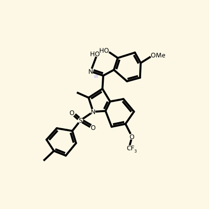 COc1ccc(/C(=N\O)c2c(C)n(S(=O)(=O)c3ccc(C)cc3)c3cc(OC(F)(F)F)ccc23)c(O)c1